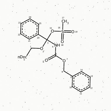 CCCCCCCCCCCOC(NC(=O)OCc1ccccc1)(OS(C)(=O)=O)c1ccccc1